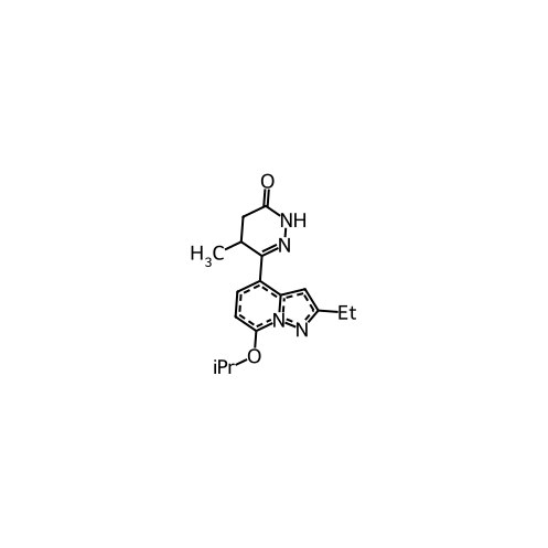 CCc1cc2c(C3=NNC(=O)CC3C)ccc(OC(C)C)n2n1